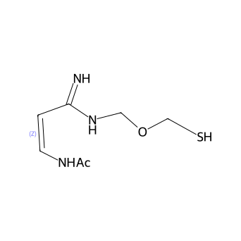 CC(=O)N/C=C\C(=N)NCOCS